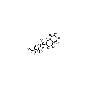 CCC(C)(C)C(=O)OC(C)(C)C1CCC2CCCCC2C1